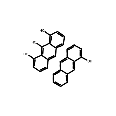 Oc1cccc2cc3cccc(O)c3c(O)c12.Oc1cccc2cc3ccccc3cc12